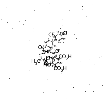 CC(COC(=O)c1ccc(-c2ccc(Cl)cc2Cl)cc1NC(=O)c1cc(O)c(C(=O)O)cc1C(=O)O)N(C)C